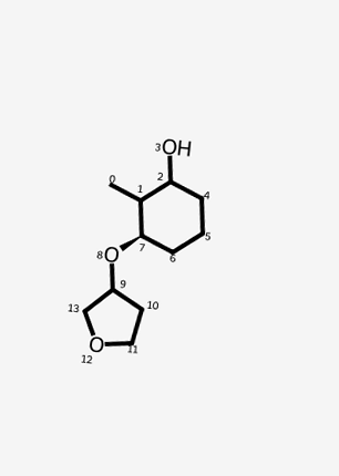 CC1C(O)CCC[C@H]1OC1CCOC1